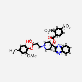 COc1cc(C)ccc1O[C@H](O)CCN1CCC(OC(=O)c2ccc([N+](=O)[O-])cc2[N+](=O)[O-])(c2cnc3ccccc3n2)CC1